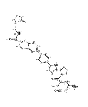 COC(=O)N[C@H](C(=O)N1CCC[C@H]1c1ncc(-c2ccc(-c3ccc4cc(C(=O)NC[C@@H]5CCCN5)ccc4c3)cc2)[nH]1)[C@@H](C)OC